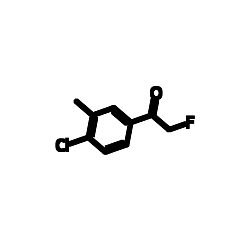 Cc1cc(C(=O)CF)ccc1Cl